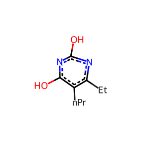 CCCc1c(O)nc(O)nc1CC